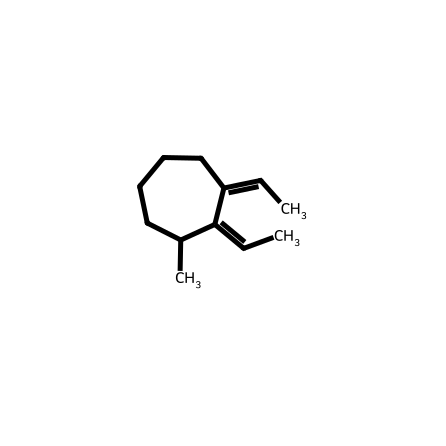 C/C=C1/CCCCC(C)/C1=C/C